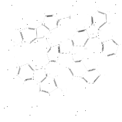 Cc1ccc2c3ccc(C)cc3n(-c3cc(N(c4ccc5ccccc5c4)c4ccc5c6ccccc6n(-c6ccccc6)c5c4)cc(-n4c5cc(C(C)C)ccc5c5ccc(C(C)C)cc54)c3)c2c1